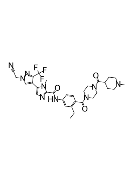 CCc1cc(NC(=O)c2ncc(-c3cn(CC#N)nc3C(F)(F)F)n2C)ccc1C(=O)N1CCN(C(=O)C2CCN(C)CC2)CC1